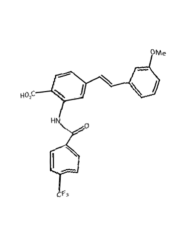 COc1cccc(C=Cc2ccc(C(=O)O)c(NC(=O)c3ccc(C(F)(F)F)cc3)c2)c1